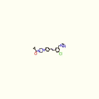 O=C(C1CC1)N1CCN(c2ccc(/C=C/c3cc(Cl)cc(Cn4ccnc4)c3)cc2)CC1